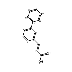 O=C(O)/C=C/c1cccc(-c2cnccn2)c1